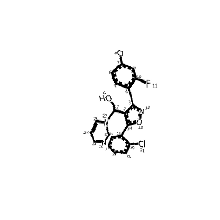 OC(c1c(-c2ccc(Cl)cc2F)noc1-c1ccccc1Cl)N1C=CC=NC1